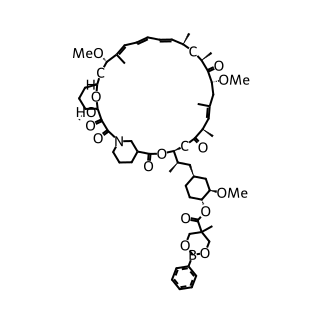 CO[C@H]1C[C@@H]2CC[C@@H](C)[C@@](O)(O2)C(=O)C(=O)N2CCCC(C2)C(=O)O[C@H]([C@H](C)C[C@@H]2CC[C@@H](OC(=O)C3(C)COB(c4ccccc4)OC3)[C@H](OC)C2)CC(=O)[C@H](C)/C=C(\C)C[C@@H](OC)C(=O)[C@H](C)C[C@H](C)/C=C/C=C/C=C/1C